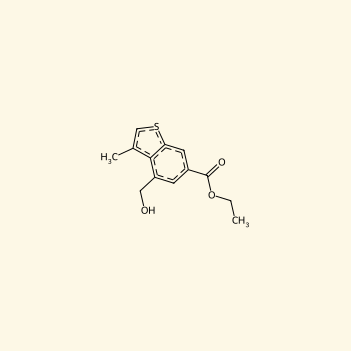 CCOC(=O)c1cc(CO)c2c(C)csc2c1